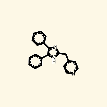 c1ccc(-c2nc(Cc3ccncc3)[nH]c2-c2ccccc2)cc1